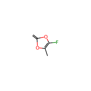 C=C1OC(C)=C(F)O1